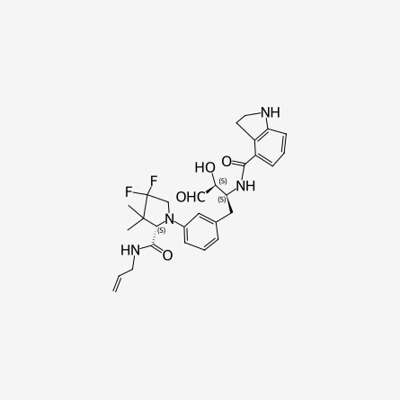 C=CCNC(=O)[C@H]1N(c2cccc(C[C@H](NC(=O)c3cccc4c3CCN4)[C@H](O)C=O)c2)CC(F)(F)C1(C)C